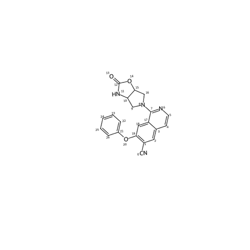 N#Cc1cc2ccnc(N3CC4NC(=O)OC4C3)c2cc1Oc1ccccc1